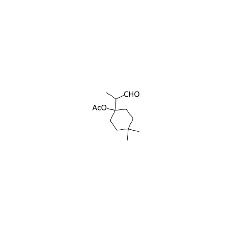 CC(=O)OC1(C(C)C=O)CCC(C)(C)CC1